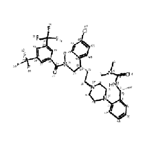 C[C@@H](NC(=O)N(C)C)c1ccccc1N1CCN(CC[C@H](CN(C)C(=O)c2cc(C(F)(F)F)cc(C(F)(F)F)c2)c2ccc(Cl)cc2)CC1